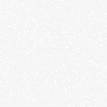 C=CC1=C(/C=C\C)C2(c3ccccc3)c3ccccc3OC2(c2ccccc2)O1